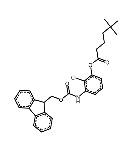 CC(C)(C)CCCC(=O)Oc1cccc(NC(=O)OCC2c3ccccc3-c3ccccc32)c1Cl